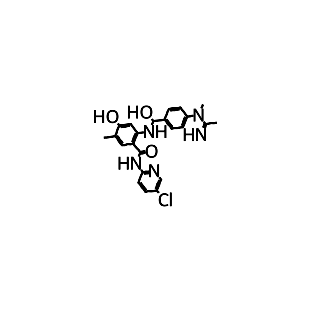 CC(=N)N(C)c1ccc(C(O)Nc2cc(O)c(C)cc2C(=O)Nc2ccc(Cl)cn2)cc1